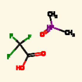 C[PH](C)=O.O=C(O)C(F)(F)F